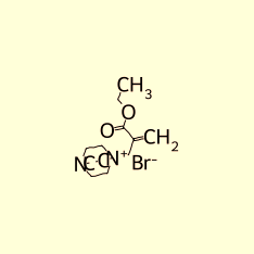 C=C(C[N+]12CCN(CC1)CC2)C(=O)OCC.[Br-]